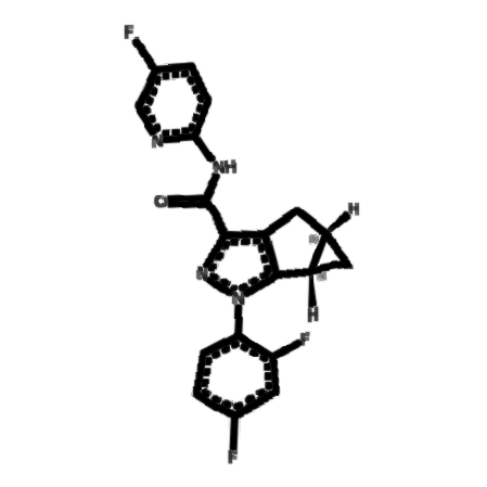 O=C(Nc1ccc(F)cn1)c1nn(-c2ccc(F)cc2F)c2c1C[C@@H]1C[C@H]21